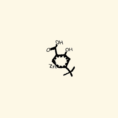 CC(C)(C)c1ccc(C(=O)O)c(O)c1.[Zn]